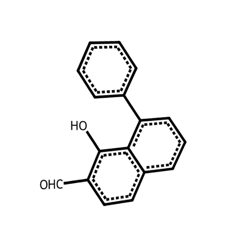 O=Cc1ccc2cccc(-c3ccccc3)c2c1O